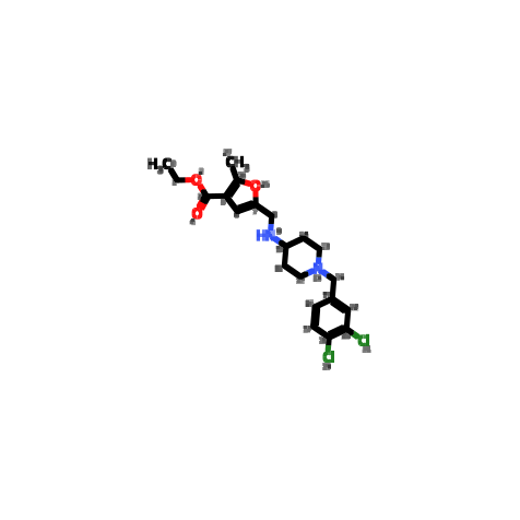 CCOC(=O)c1cc(CNC2CCN(Cc3ccc(Cl)c(Cl)c3)CC2)oc1C